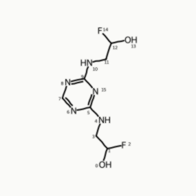 OC(F)CNc1ncnc(NCC(O)F)n1